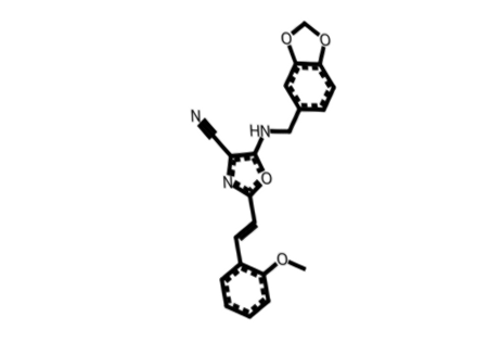 COc1ccccc1/C=C/c1nc(C#N)c(NCc2ccc3c(c2)OCO3)o1